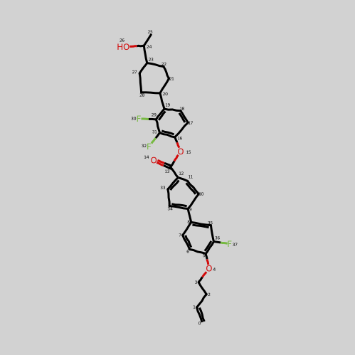 C=CCCOc1ccc(-c2ccc(C(=O)Oc3ccc(C4CCC(C(C)O)CC4)c(F)c3F)cc2)cc1F